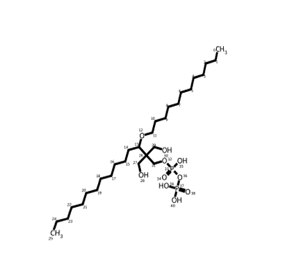 CCCCCCCCCCCCOC(CCCCCCCCCCCC)C(CO)(CO)COP(=O)(O)OP(=O)(O)O